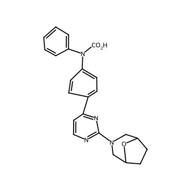 O=C(O)N(c1ccccc1)c1ccc(-c2ccnc(N3CC4CCC(C3)O4)n2)cc1